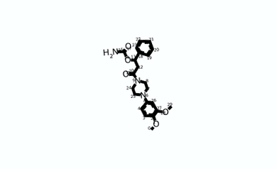 COc1ccc(N2CCN(C(=O)CC(OC(N)=O)c3ccccc3)CC2)cc1OC